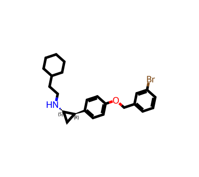 Brc1cccc(COc2ccc([C@H]3C[C@@H]3NCCC3CCCCC3)cc2)c1